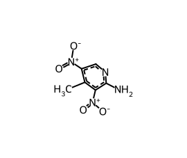 Cc1c([N+](=O)[O-])cnc(N)c1[N+](=O)[O-]